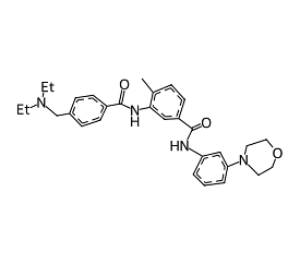 CCN(CC)Cc1ccc(C(=O)Nc2cc(C(=O)Nc3cccc(N4CCOCC4)c3)ccc2C)cc1